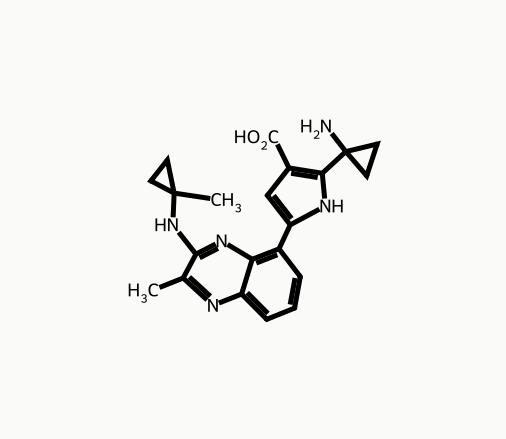 Cc1nc2cccc(-c3cc(C(=O)O)c(C4(N)CC4)[nH]3)c2nc1NC1(C)CC1